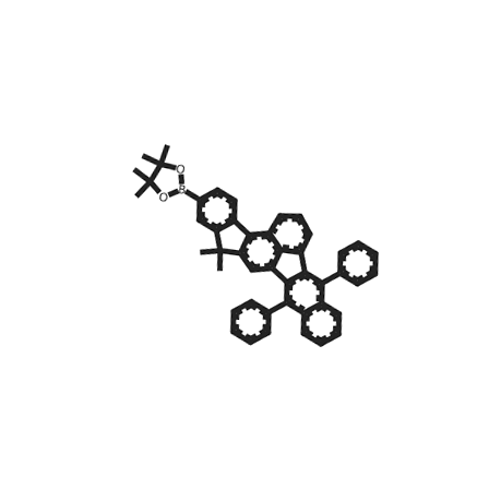 CC1(C)c2cc(B3OC(C)(C)C(C)(C)O3)ccc2-c2c1cc1c3c(cccc23)-c2c-1c(-c1ccccc1)c1ccccc1c2-c1ccccc1